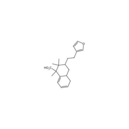 CC1(C(=O)O)C2=CC=CCC2CC(CCc2ccoc2)C1(C)C